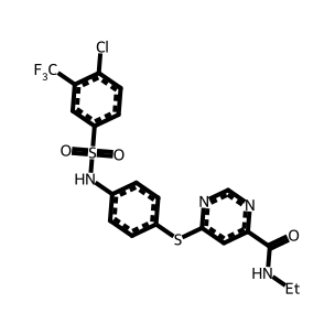 CCNC(=O)c1cc(Sc2ccc(NS(=O)(=O)c3ccc(Cl)c(C(F)(F)F)c3)cc2)ncn1